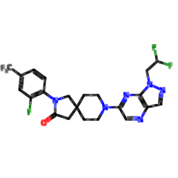 O=C1CC2(CCN(c3cnc4cnn(CC(F)F)c4n3)CC2)CN1c1ccc(C(F)(F)F)cc1F